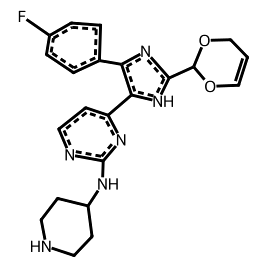 Fc1ccc(-c2nc(C3OC=CCO3)[nH]c2-c2ccnc(NC3CCNCC3)n2)cc1